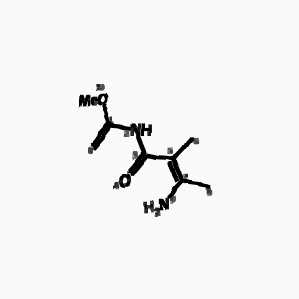 C=C(NC(=O)/C(C)=C(/C)N)OC